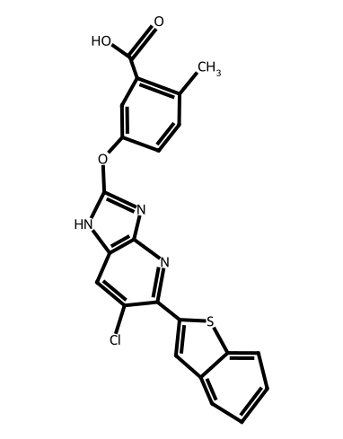 Cc1ccc(Oc2nc3nc(-c4cc5ccccc5s4)c(Cl)cc3[nH]2)cc1C(=O)O